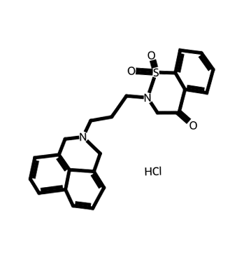 Cl.O=C1CN(CCCN2Cc3cccc4cccc(c34)C2)S(=O)(=O)c2ccccc21